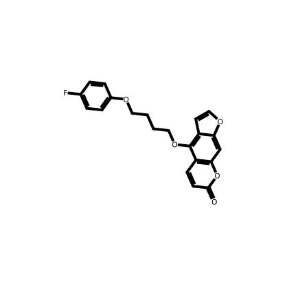 O=c1ccc2c(OCCCCOc3ccc(F)cc3)c3ccoc3cc2o1